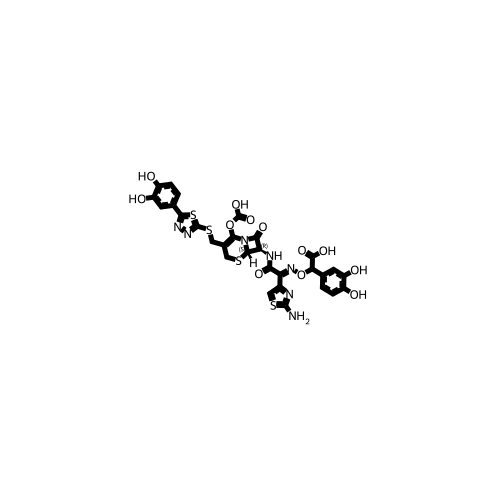 Nc1nc(C(=NOC(C(=O)O)c2ccc(O)c(O)c2)C(=O)N[C@@H]2C(=O)N3C(OC(=O)O)=C(CSc4nnc(-c5ccc(O)c(O)c5)s4)CS[C@@H]23)cs1